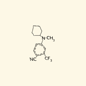 CN(c1ccc(C#N)c(C(F)(F)F)c1)C1CCCCC1